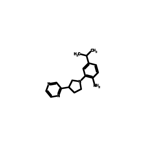 CC(C)c1ccc(N)c(N2CCC(c3cnccn3)C2)c1